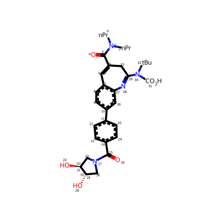 CCCN(CCC)C(=O)C1=Cc2ccc(-c3ccc(C(=O)N4C[C@H](O)[C@@H](O)C4)cc3)cc2N=C(N(C(=O)O)C(C)(C)C)C1